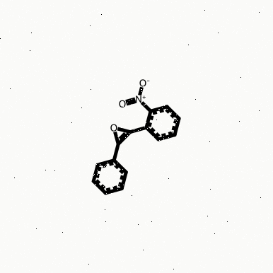 O=[N+]([O-])c1ccccc1C1=C(c2ccccc2)O1